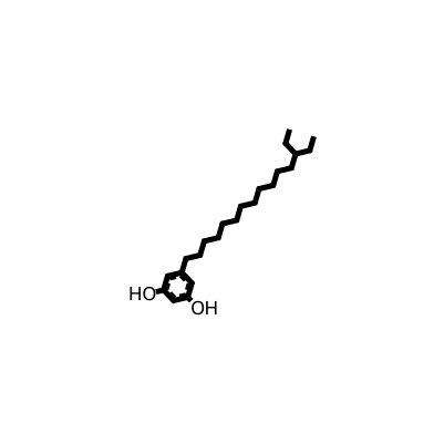 CCC(CC)CCCCCCCCCCCCc1cc(O)cc(O)c1